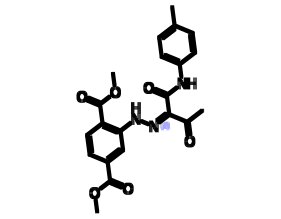 COC(=O)c1ccc(C(=O)OC)c(N/N=C(/C(C)=O)C(=O)Nc2ccc(C)cc2)c1